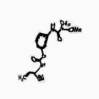 C=CC(NC(=O)Oc1cccc(NC(=O)N(C)OC)c1)C(C)(C)C